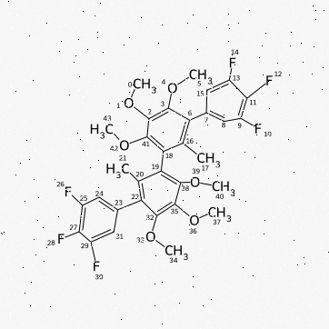 COc1c(OC)c(-c2cc(F)c(F)c(F)c2)c(C)c(-c2c(C)c(-c3cc(F)c(F)c(F)c3)c(OC)c(OC)c2OC)c1OC